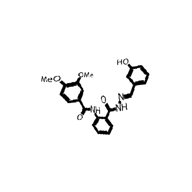 COc1ccc(C(=O)Nc2ccccc2C(=O)N/N=C/c2cccc(O)c2)cc1OC